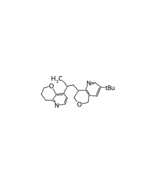 CC(CC1COCc2cc(C(C)(C)C)cnc21)c1ccnc2c1OCCC2